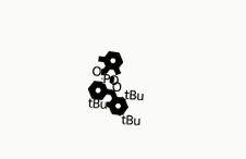 Cc1cccc(C)c1C(=O)[P](=O)c1ccccc1C(=O)c1c(C(C)(C)C)cc(C(C)(C)C)cc1C(C)(C)C